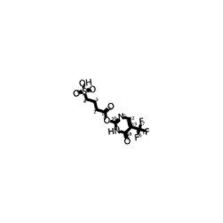 O=C(CCCS(=O)(=O)O)Oc1ncc(C(F)(F)F)c(=O)[nH]1